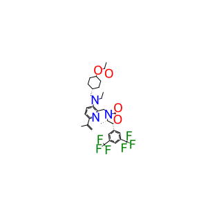 C=C(C)c1ccc(N(CC)C[C@H]2CC[C@H](OC(C)=O)CC2)c(CN2C(=O)O[C@H](c3cc(C(F)(F)F)cc(C(F)(F)F)c3)[C@@H]2C)n1